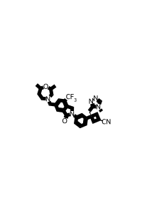 CC1CCN(Cc2cc3c(c(C(F)(F)F)c2)CN(c2cccc([C@]4(Cc5nncn5C)C[C@@H](C#N)C4)c2)C3=O)CC(C)O1